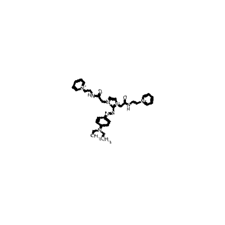 CCN(CC)c1ccc(/N=N/c2n(CC(=O)NCC[n+]3ccccc3)cc[n+]2CC(=O)NCC[n+]2ccccc2)cc1